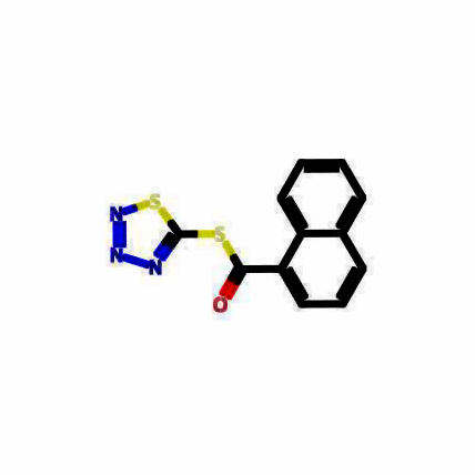 O=C(Sc1nnns1)c1cccc2ccccc12